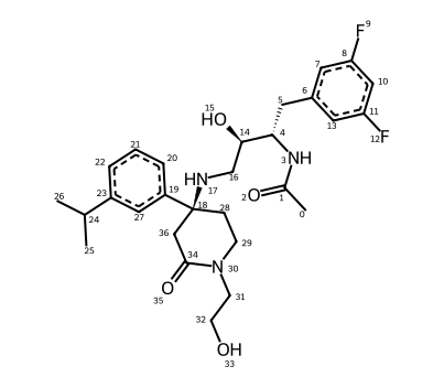 CC(=O)N[C@@H](Cc1cc(F)cc(F)c1)[C@H](O)CN[C@@]1(c2cccc(C(C)C)c2)CCN(CCO)C(=O)C1